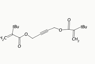 C=C(C(=O)OCC#CCOC(=O)C(=C)C(C)(C)C)C(C)(C)C